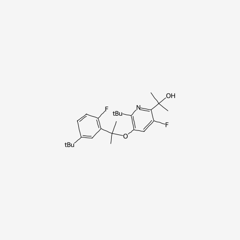 CC(C)(C)c1ccc(F)c(C(C)(C)Oc2cc(F)c(C(C)(C)O)nc2C(C)(C)C)c1